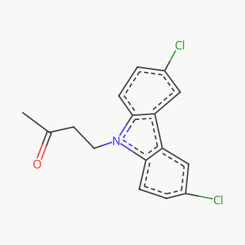 CC(=O)CCn1c2ccc(Cl)cc2c2cc(Cl)ccc21